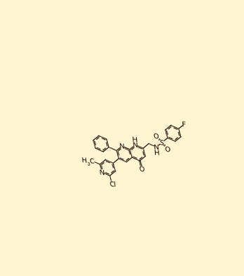 Cc1cc(-c2cc3c(=O)cc(CNS(=O)(=O)c4ccc(F)cc4)[nH]c3nc2-c2ccccc2)cc(Cl)n1